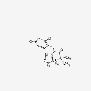 CC(C)(C#N)C(=O)C(Cc1ccc(Cl)cc1Cl)c1nc[nH]n1